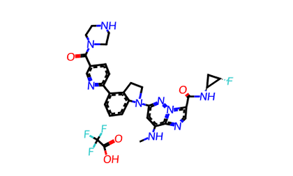 CNc1cc(N2CCc3c(-c4ccc(C(=O)N5CCNCC5)cn4)cccc32)nn2c(C(=O)N[C@@H]3C[C@@H]3F)cnc12.O=C(O)C(F)(F)F